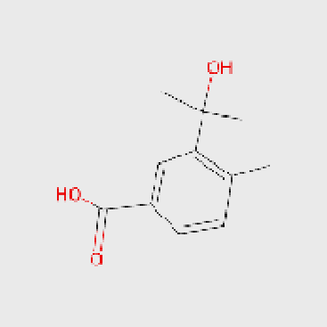 Cc1ccc(C(=O)O)cc1C(C)(C)O